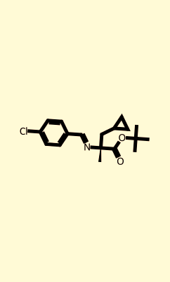 CC(C)(C)OC(=O)[C@@](C)(CC1CC1)N=Cc1ccc(Cl)cc1